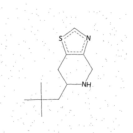 CC(C)(C)CC1Cc2scnc2CN1